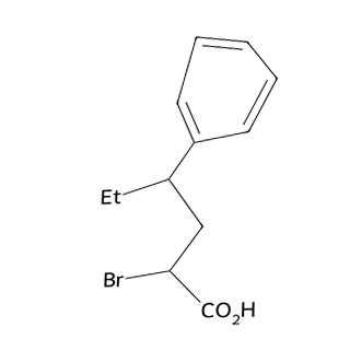 CCC(CC(Br)C(=O)O)c1ccccc1